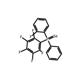 Fc1ccccc1P(=[Se])(c1ccccc1)c1c(F)c(F)c(F)c(F)c1F